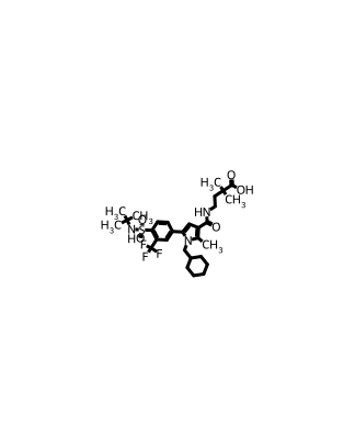 Cc1c(C(=O)NCCC(C)(C)C(=O)O)cc(-c2ccc(S(=O)(=O)NC(C)(C)C)c(C(F)(F)F)c2)n1CC1CCCCC1